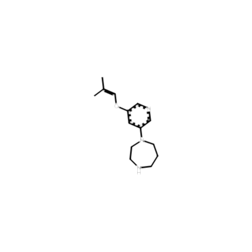 CC(C)=COc1cncc(N2CCCNCC2)c1